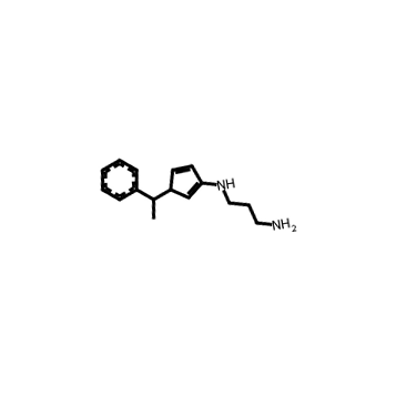 CC(c1ccccc1)C1C=CC(NCCCN)=C1